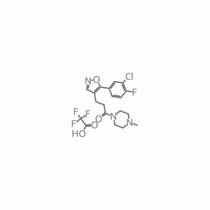 CN1CCN(C(=O)CCc2cnoc2-c2ccc(F)c(Cl)c2)CC1.O=C(O)C(F)(F)F